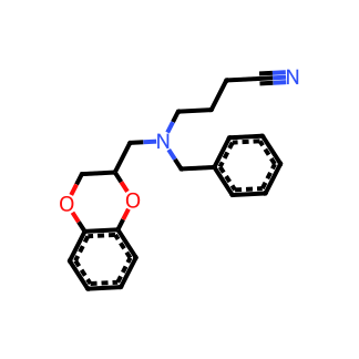 N#CCCCN(Cc1ccccc1)CC1COc2ccccc2O1